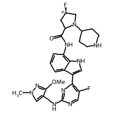 COc1nn(C)cc1Nc1ncc(F)c(-c2c[nH]c3c(NC(=O)C4C[C@@H](F)CN4C4CCNCC4)cccc23)n1